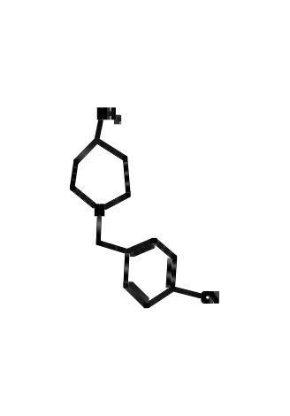 N#Cc1ccc(CN2CCC(N)CC2)cc1